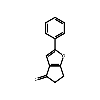 O=C1CCc2oc(-c3ccccc3)cc21